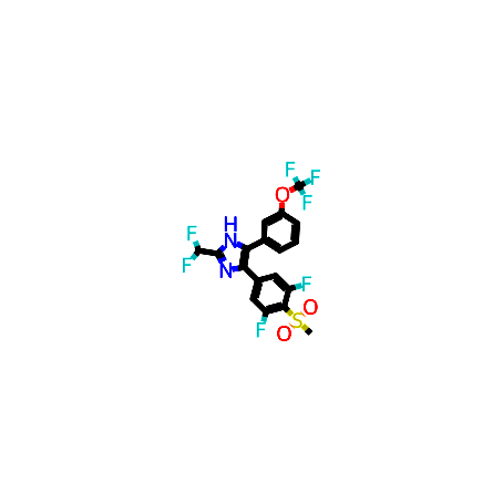 CS(=O)(=O)c1c(F)cc(-c2nc(C(F)F)[nH]c2-c2cccc(OC(F)(F)F)c2)cc1F